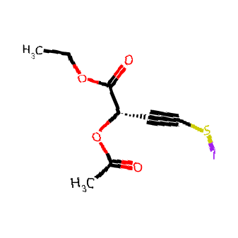 CCOC(=O)[C@H](C#CSI)OC(C)=O